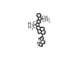 CC1(C)c2ccccc2-c2cc3c(cc21)-c1c(cc2ccc4c(-c5cnc6c(ccc7cccnc76)c5)ccc5ccc1c2c54)C3(C)C